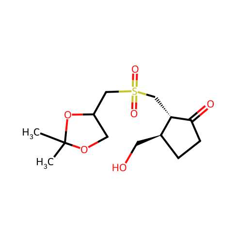 CC1(C)OCC(CS(=O)(=O)C[C@@H]2C(=O)CC[C@H]2CO)O1